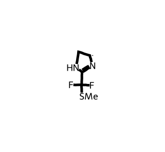 CSC(F)(F)C1=N[CH]CN1